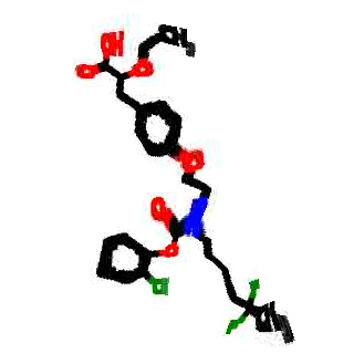 CCOC(Cc1ccc(OCCN(CCCCC(C)(F)F)C(=O)Oc2ccccc2Cl)cc1)C(=O)O